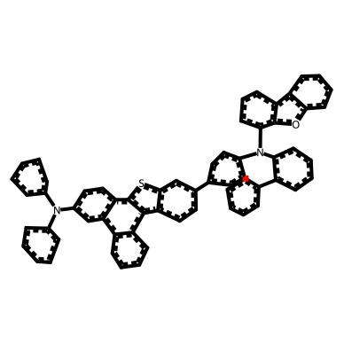 c1ccc(-c2ccccc2N(c2ccc(-c3ccc4c(c3)sc3c5ccc(N(c6ccccc6)c6ccccc6)cc5c5ccccc5c43)cc2)c2cccc3c2oc2ccccc23)cc1